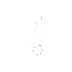 OC[C@H]1OC[C@@H](Nc2ncncc2F)[C@@H](O)[C@H]1O